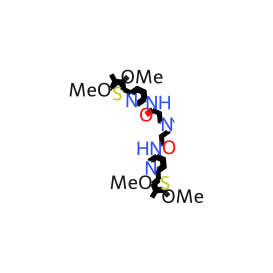 COc1sc(-c2ccc(NC(=O)CCN(C)CCC(=O)Nc3ccc(-c4sc(OC)c(C)c4OC)nc3)cn2)c(OC)c1C